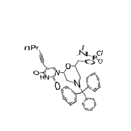 CCCC#Cc1cn(C2CN(C(c3ccccc3)(c3ccccc3)c3ccccc3)CC(COP(=O)(Cl)N(C)C)O2)c(=O)[nH]c1=O